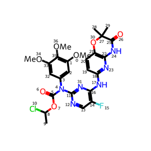 COc1cc(N(C(=O)OC(C)Cl)c2ncc(F)c(Nc3ccc4c(n3)NC(=O)C(C)(C)O4)n2)cc(OC)c1OC